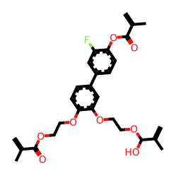 C=C(C)C(=O)OCCOc1ccc(-c2ccc(OC(=O)C(=C)C)c(F)c2)cc1OCCOC(O)C(=C)C